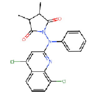 CC1C(=O)N(N(c2ccccc2)c2cc(Cl)c3cccc(Cl)c3n2)C(=O)C1C